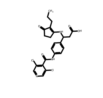 CCCC1=C(NC(CC(=O)O)c2ccc(NC(=O)c3c(Cl)cncc3Cl)cc2)CCC1=O